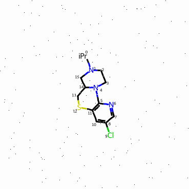 CC(C)N1CCN2c3ncc(Cl)cc3SCC2C1